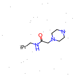 CC(C)CNC(=O)CN1CC[N]CC1